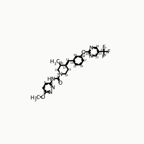 COc1ccc(NC(=O)N2CCC(=Cc3cccc(Oc4ncc(C(F)(F)F)cn4)c3)C(C)C2)nn1